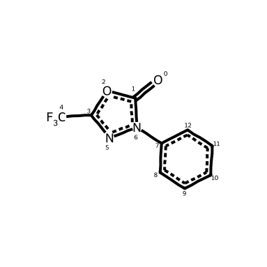 O=c1oc(C(F)(F)F)nn1-c1ccccc1